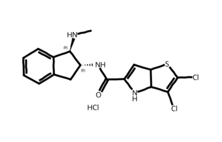 CN[C@@H]1c2ccccc2C[C@H]1NC(=O)C1=CC2SC(Cl)=C(Cl)C2N1.Cl